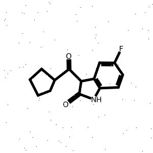 O=C1Nc2ccc(F)cc2C1C(=O)C1CCCC1